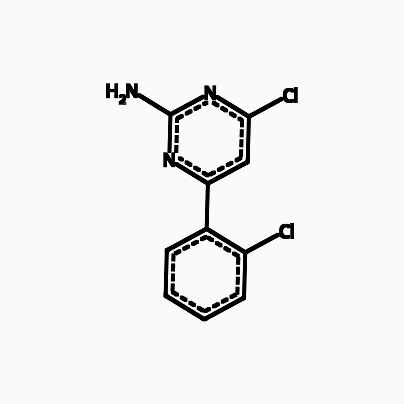 Nc1nc(Cl)cc(-c2ccccc2Cl)n1